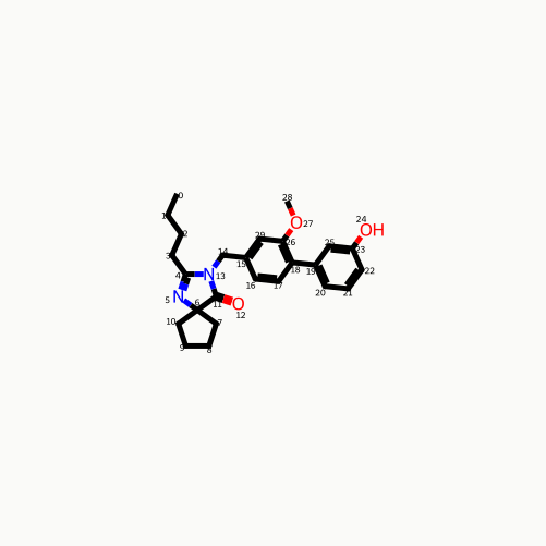 CCCCC1=NC2(CCCC2)C(=O)N1Cc1ccc(-c2cccc(O)c2)c(OC)c1